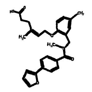 CC(=CCOc1ccc(C)cc1CN(C)C(=O)c1ccc(-c2ccco2)cc1)CCC(=O)O